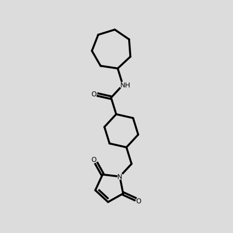 O=C(NC1CCCCCC1)C1CCC(CN2C(=O)C=CC2=O)CC1